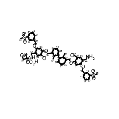 Cc1c(COc2cc(OCc3cccc(S(C)(=O)=O)c3)c(CN)cc2Cl)cccc1-c1cccc(COc2cc(OCc3cccc(S(C)(=O)=O)c3)c(CN[C@@](C)(CO)C(=O)O)cc2Cl)c1C